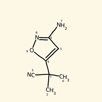 CC(C)(C#N)c1cc(N)no1